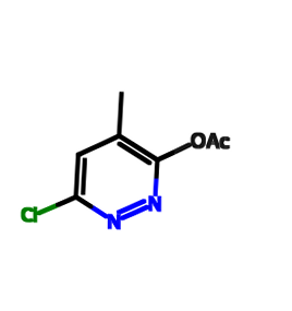 CC(=O)Oc1nnc(Cl)cc1C